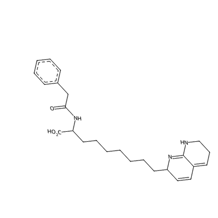 O=C(Cc1ccccc1)NC(CCCCCCCC1C=CC2=CCCNC2=N1)C(=O)O